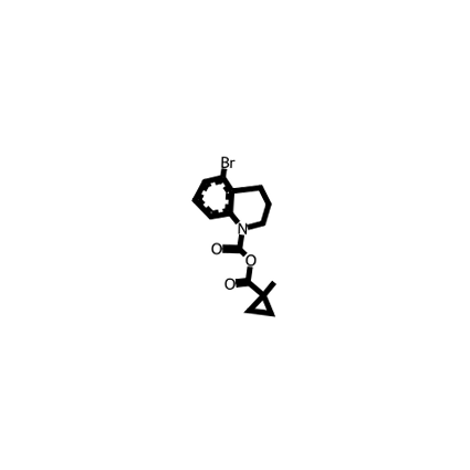 CC1(C(=O)OC(=O)N2CCCc3c(Br)cccc32)CC1